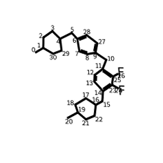 CC1CCC(Cc2ccc(Cc3ccc(CC4CCC(C)CC4)c(F)c3F)cc2)CC1